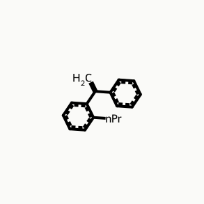 C=C(c1ccccc1)c1ccccc1CCC